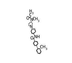 CC(=O)N(C)C1CCN(c2ccc(NC(=O)c3ccc(-c4ccccc4C)cc3)cc2)C1